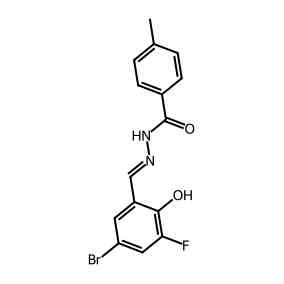 Cc1ccc(C(=O)N/N=C/c2cc(Br)cc(F)c2O)cc1